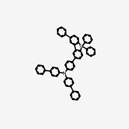 c1ccc(-c2ccc(N(c3ccc(-c4ccccc4)cc3)c3ccc(-c4ccc5c(c4)-c4cc(-c6ccccc6)ccc4[Si]5(c4ccccc4)c4ccccc4)cc3)cc2)cc1